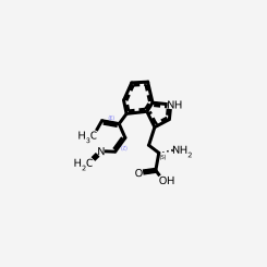 C=N/C=C\C(=C/C)c1cccc2[nH]cc(C[C@H](N)C(=O)O)c12